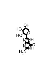 Nc1nc2nc(C3OC[C@@H](O)[C@@H](O)[C@H]3O)[nH]c2c(=O)[nH]1